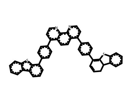 C1=CC(c2ccc(-c3ccnc4c3ccc3c(-c5ccc(-c6cccc7c6sc6ccccc67)cc5)ccnc34)cc2)=C2Sc3ccccc3C2C1